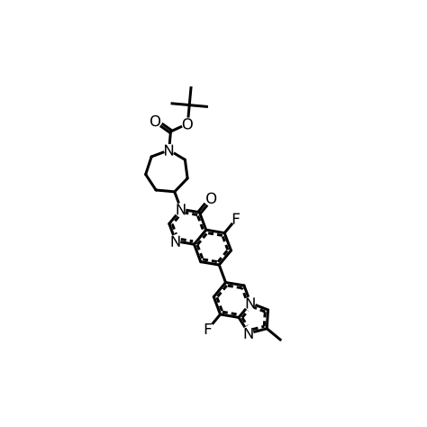 Cc1cn2cc(-c3cc(F)c4c(=O)n(C5CCCN(C(=O)OC(C)(C)C)CC5)cnc4c3)cc(F)c2n1